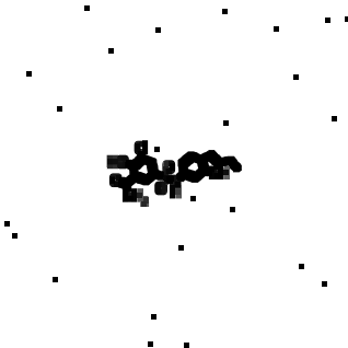 CCc1cc2ccc(NS(=O)(=O)c3cc(Cl)c(O)c(C(N)=O)c3)cc2[nH]1